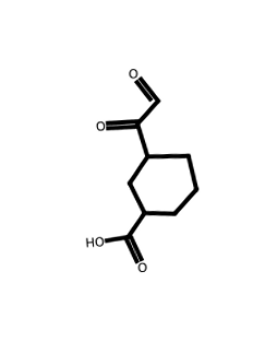 O=CC(=O)C1CCCC(C(=O)O)C1